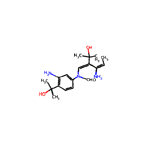 C/C=C(N)\C(=C/N(C=O)c1ccc(C(C)(C)O)c(N)c1)C(C)(C)O